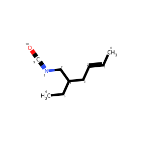 CC=CCC(CC)CN=C=O